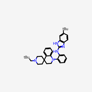 CC(C)(C)CN1CCC2(CC1)CCN(c1ccccc1Nc1nc3ccc(C(C)(C)C)cc3[nH]1)c1ccccc12